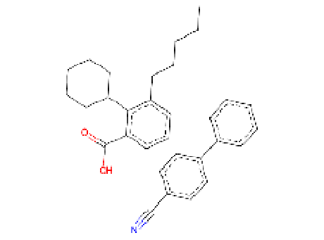 CCCCCc1cccc(C(=O)O)c1C1CCCCC1.N#Cc1ccc(-c2ccccc2)cc1